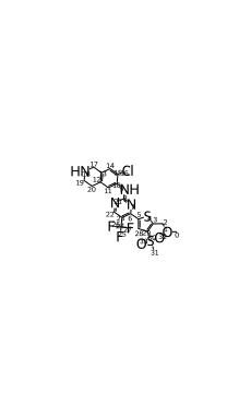 COCc1sc(-c2nc(Nc3cc4c(cc3Cl)CNCC4)ncc2C(F)(F)F)cc1S(C)(=O)=O